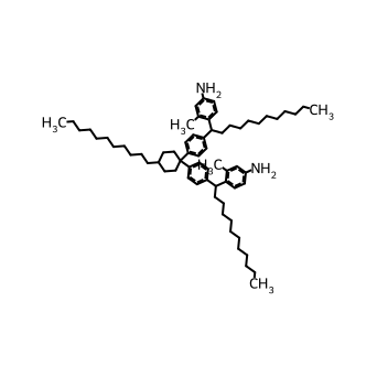 CCCCCCCCCCCC1CCC(c2ccc(C(CCCCCCCCCCC)c3ccc(N)cc3C)cc2)(c2ccc(C(CCCCCCCCCCC)c3ccc(N)cc3C)cc2)CC1